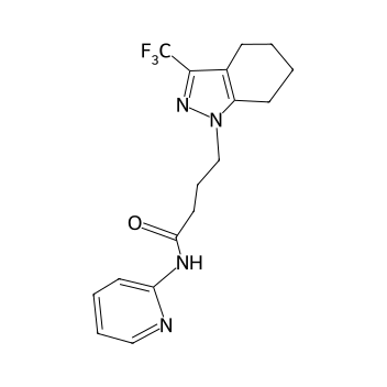 O=C(CCCn1nc(C(F)(F)F)c2c1CCCC2)Nc1ccccn1